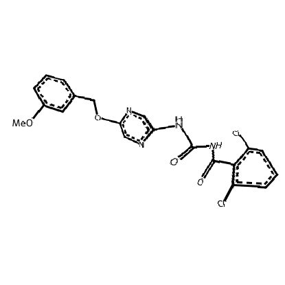 COc1cccc(COc2cnc(NC(=O)NC(=O)c3c(Cl)cccc3Cl)cn2)c1